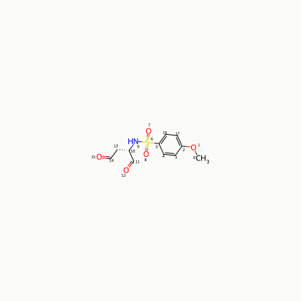 COc1ccc(S(=O)(=O)N[C@H]([C]=O)C[C]=O)cc1